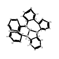 c1ccc(N2B3N(c4ccccc4-c4ccccc42)c2cccnc2N3c2ccccc2)cc1